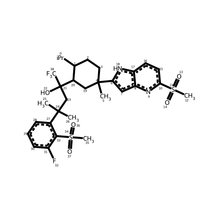 CC(C)C1CCC(C)(c2cc3nc(S(C)(=O)=O)ccc3[nH]2)CC1C(O)(CC(C)(C)c1cccc(F)c1S(C)(=O)=O)C(F)(F)F